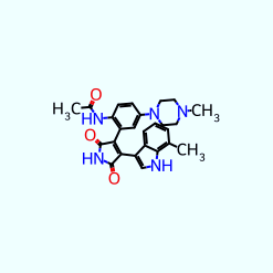 CC(=O)Nc1ccc(N2CCN(C)CC2)cc1C1=C(c2c[nH]c3c(C)cccc23)C(=O)NC1=O